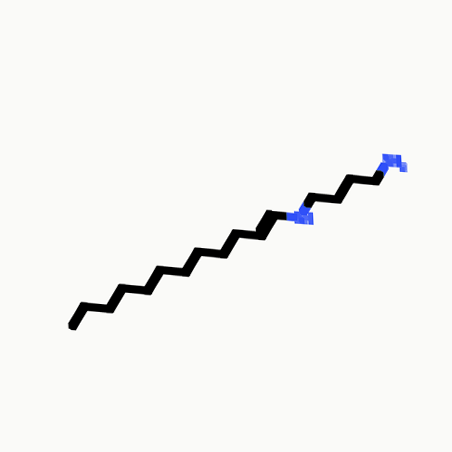 CCCCCCCCCCC=CNCCCCN